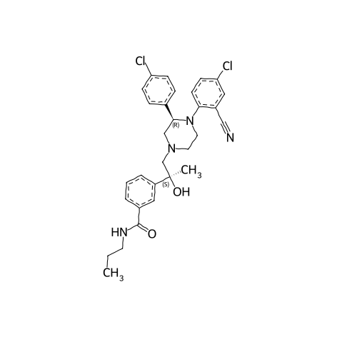 CCCNC(=O)c1cccc([C@](C)(O)CN2CCN(c3ccc(Cl)cc3C#N)[C@H](c3ccc(Cl)cc3)C2)c1